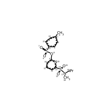 Cc1ccc(S(=O)(=O)Oc2cccc(S(=O)(=O)N(C)C(C)C)n2)cc1